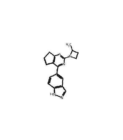 CC1CCN1c1nc2c(c(-c3ccc4[nH]ncc4c3)n1)CCC2